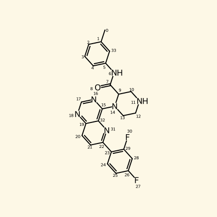 Cc1cccc(NC(=O)C2CNCCN2c2ncnc3ccc(-c4ccc(F)cc4F)nc23)c1